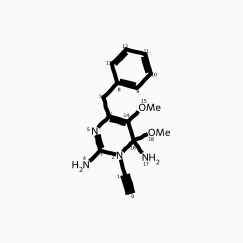 C#CN1C(N)=NC(Cc2ccccc2)=C(OC)C1(N)OC